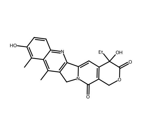 CCC1(O)C(=O)OCc2c1cc1n(c2=O)Cc2c-1nc1ccc(O)c(C)c1c2C